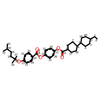 CCC1CCC(C2CCC(C(=O)Oc3ccc(OC(=O)c4ccc(OC(C)(C)CCC(C)C)cc4)cc3)CC2)CC1